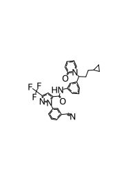 N#Cc1cccc(-n2nc(C(F)(F)F)cc2C(=O)Nc2cccc(C(CCC3CC3)n3ccccc3=O)c2)c1